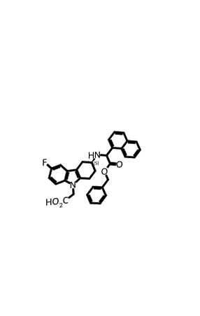 O=C(O)Cn1c2c(c3cc(F)ccc31)C[C@@H](NC(C(=O)OCc1ccccc1)c1cccc3ccccc13)CC2